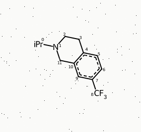 CC(C)N1CCc2ccc(C(F)(F)F)cc2C1